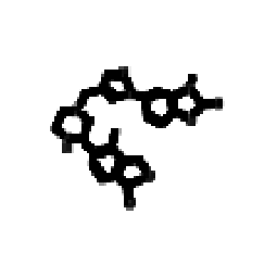 Cc1c(C2CN(Cc3cnn(-c4ccc5oc(=O)n(C)c5c4)c3)CCN2)ccc2c1COC2=O